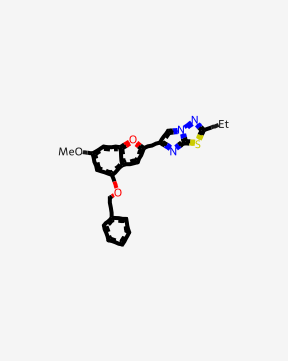 CCc1nn2cc(-c3cc4c(OCc5ccccc5)cc(OC)cc4o3)nc2s1